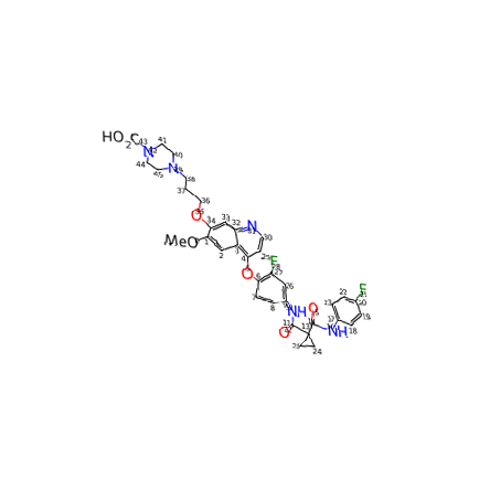 COc1cc2c(Oc3ccc(NC(=O)C4(C(=O)Nc5ccc(F)cc5)CC4)cc3F)ccnc2cc1OCCCN1CCN(C(=O)O)CC1